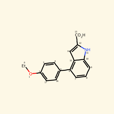 CCOc1ccc(-c2cccc3[nH]c(C(=O)O)cc23)cc1